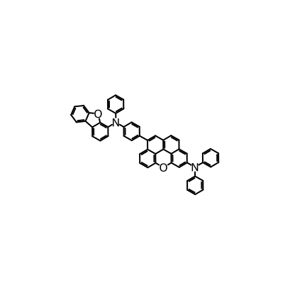 c1ccc(N(c2ccccc2)c2cc3c4c(ccc5cc(-c6ccc(N(c7ccccc7)c7cccc8c7oc7ccccc78)cc6)c6cccc(c6c54)O3)c2)cc1